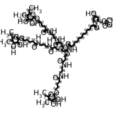 CCC1O[C@@H](OCCCCC(=O)NCCCNC(=O)CCOC(COCCC(=O)NCCCNC(=O)CCCCO[C@@H]2O[C@H](CC)[C@H](C)C(O)C2O)(NC(=O)CCCCCCCCCCC(=O)N2C[C@H](O)C[C@H]2COP(C)(=O)O)OCCC(=O)NCCCNC(=O)CCCCO[C@@H]2OC(CC)[C@H](C)C(O)C2O)C(O)C(O)[C@H]1C